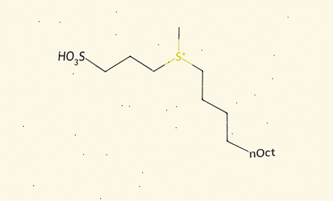 CCCCCCCCCCCC[S+](C)CCCS(=O)(=O)O